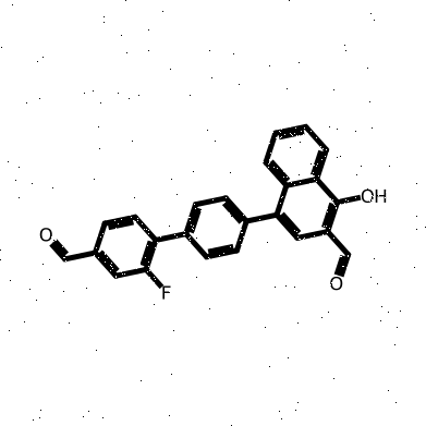 O=Cc1ccc(-c2ccc(-c3cc(C=O)c(O)c4ccccc34)cc2)c(F)c1